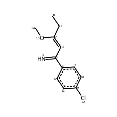 CC/C(=C/C(=N)c1ccc(Cl)cc1)OC